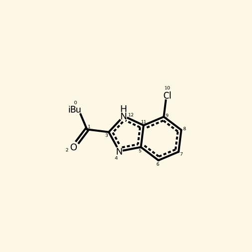 CCC(C)C(=O)c1nc2cccc(Cl)c2[nH]1